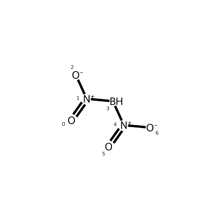 O=[N+]([O-])B[N+](=O)[O-]